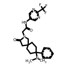 CN(C)C1(c2ccccc2)CCC2(CC1)CC(=O)N(CC(=O)Nc1cnc(C(F)(F)F)nc1)C2